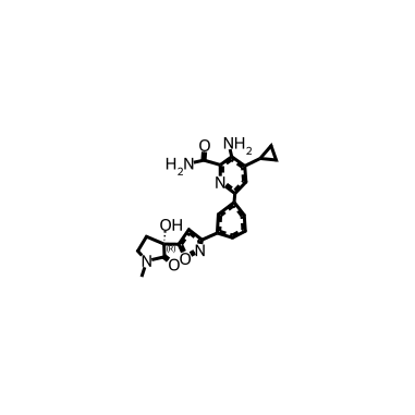 CN1CC[C@@](O)(c2cc(-c3cccc(-c4cc(C5CC5)c(N)c(C(N)=O)n4)c3)no2)C1=O